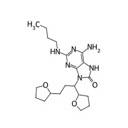 CCCCNc1nc(N)c2[nH]c(=O)n(C(CCC3CCCO3)C3CCCO3)c2n1